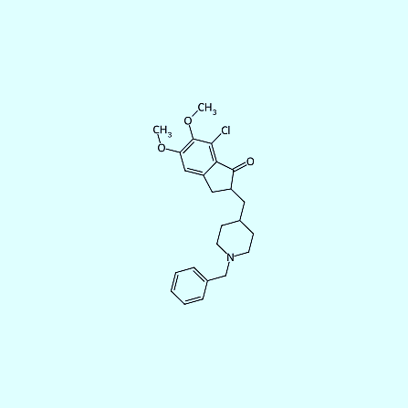 COc1cc2c(c(Cl)c1OC)C(=O)C(CC1CCN(Cc3ccccc3)CC1)C2